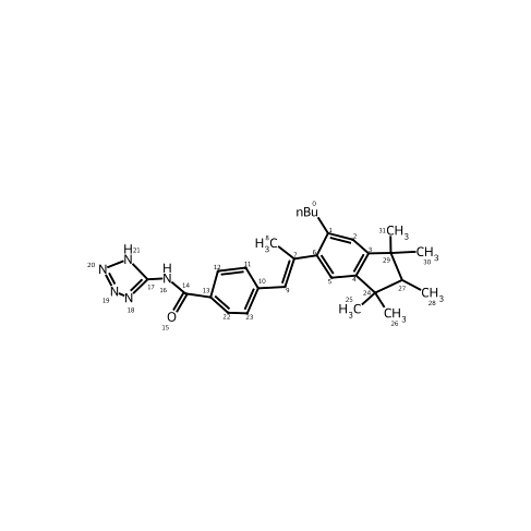 CCCCc1cc2c(cc1/C(C)=C/c1ccc(C(=O)Nc3nnn[nH]3)cc1)C(C)(C)C(C)C2(C)C